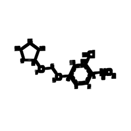 O=[N+]([O-])c1ccc(OCOC2CCCC2)cc1Cl